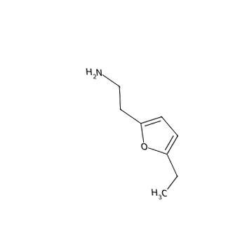 CCc1ccc(CCN)o1